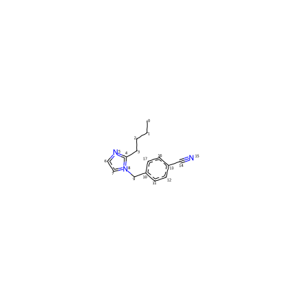 CCCCc1nccn1Cc1ccc(C#N)cc1